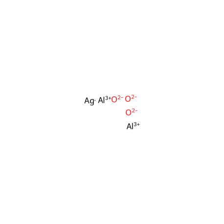 [Ag].[Al+3].[Al+3].[O-2].[O-2].[O-2]